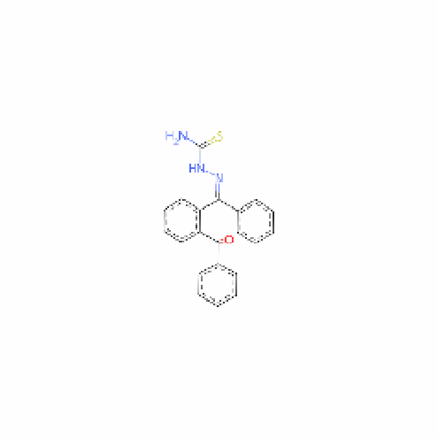 NC(=S)NN=C(c1ccccc1)c1ccccc1C(=O)c1ccccc1